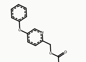 CC(=O)OCc1ccc(Oc2ccccc2)cn1